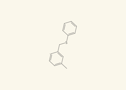 Cc1cc[c]c(CSc2ccccc2)c1